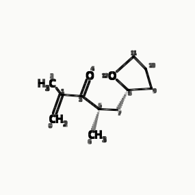 C=C(C)C(=O)[C@@H](C)C[C@H]1CCCO1